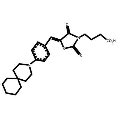 O=C(O)CCCN1C(=O)C(=Cc2ccc(N3CCC4(CCCCC4)CC3)cc2)SC1=S